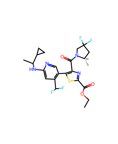 CCOC(=O)c1nc(C(=O)N2CC(F)(F)C[C@@H]2C)c(-c2cnc(NC(C)C3CC3)cc2C(F)F)s1